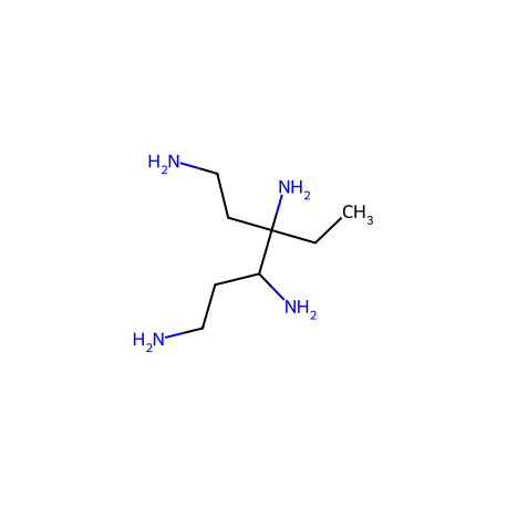 CCC(N)(CCN)C(N)CCN